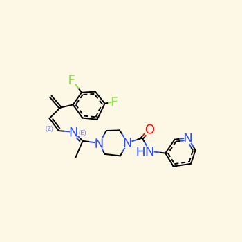 C=C(/C=C\N=C(/C)N1CCN(C(=O)Nc2cccnc2)CC1)c1ccc(F)cc1F